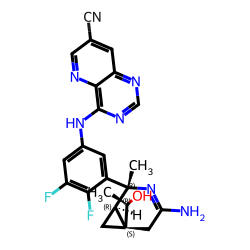 C[C@@H](O)[C@@]12CC(N)=N[C@@](C)(c3cc(Nc4ncnc5cc(C#N)cnc45)cc(F)c3F)[C@@H]1C2